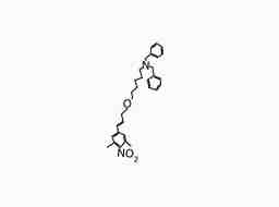 Cc1cc(C=CCCOCCCCCCN(Cc2ccccc2)Cc2ccccc2)cc(C)c1[N+](=O)[O-]